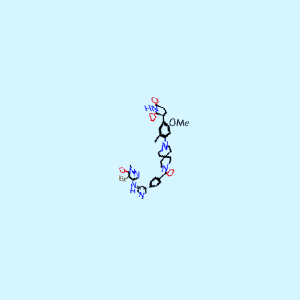 COc1cc(N2CCC3(CCN(C(=O)c4ccc([C@H]5C[C@@H](Nc6cnn(C)c(=O)c6Br)CN(C)C5)cc4)CC3)CC2)c(C)cc1C1CCC(=O)NC1=O